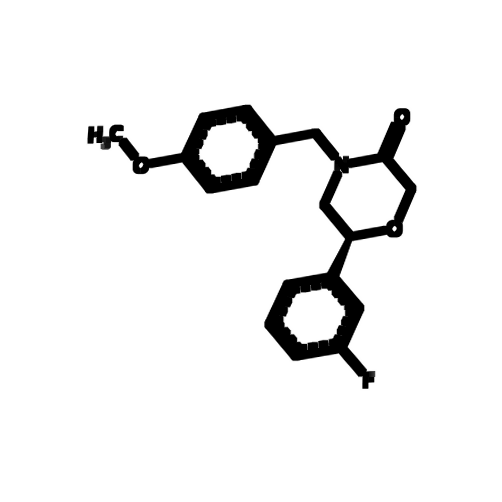 COc1ccc(CN2C[C@H](c3cccc(F)c3)OCC2=O)cc1